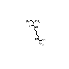 CC(C)C[C@H](C)C(=O)NCCCCNC(=N)N